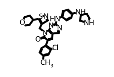 Cc1ccc(-c2cc3cnc(Nc4ccc(NC5CCNC5)cc4)nc3n(Cc3cnsc3C3CCOCC3)c2=O)c(Cl)c1